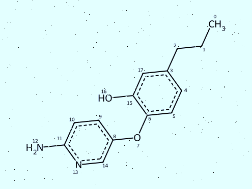 CCCc1ccc(Oc2ccc(N)nc2)c(O)c1